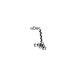 CCCCCCCCCCCCCCCCCCOP(=O)(OCC)OCC